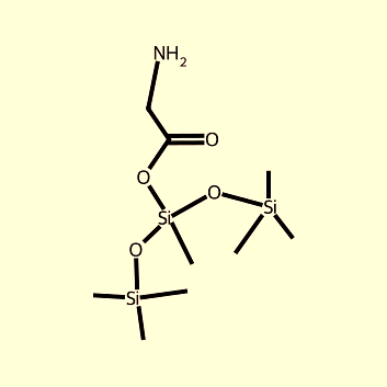 C[Si](C)(C)O[Si](C)(OC(=O)CN)O[Si](C)(C)C